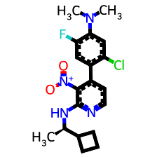 C[C@@H](Nc1nccc(-c2cc(F)c(N(C)C)cc2Cl)c1[N+](=O)[O-])C1CCC1